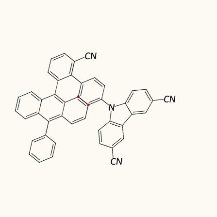 N#Cc1ccc2c(c1)c1cc(C#N)ccc1n2-c1ccc(-c2c(C#N)cccc2-c2c3ccccc3c(-c3ccccc3)c3ccccc23)cc1